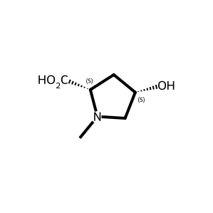 CN1C[C@@H](O)C[C@H]1C(=O)O